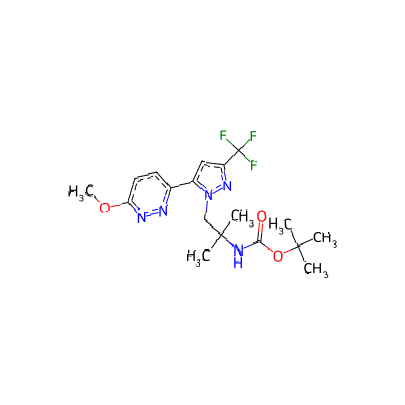 COc1ccc(-c2cc(C(F)(F)F)nn2CC(C)(C)NC(=O)OC(C)(C)C)nn1